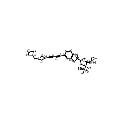 C[C@@](CCc1nc2ccc(C#CC#CC3CN(CC4COC4)C3)cc2s1)(C(=O)NO)S(C)(=O)=O